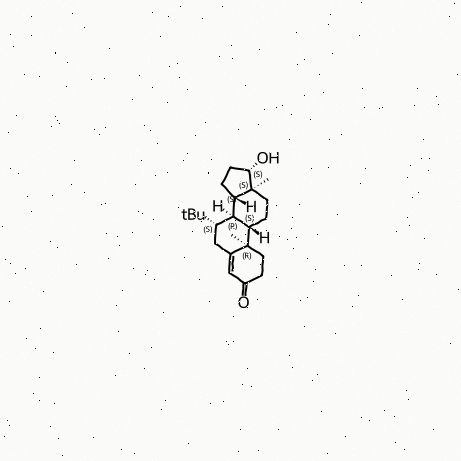 CC(C)(C)[C@H]1CC2=CC(=O)CC[C@]2(C)[C@H]2CC[C@]3(C)[C@@H](O)CC[C@H]3[C@H]12